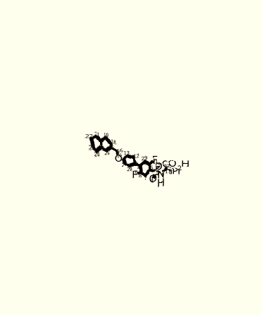 CC(C)[C@@H](NS(=O)(=O)c1cc(F)c(-c2ccc(OCc3ccc4ccccc4c3)cc2)cc1F)C(=O)O